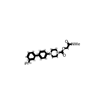 CNC(=O)COC(=O)N1CCN(c2ccc(-c3cccc(C(C)C)c3)cc2)CC1